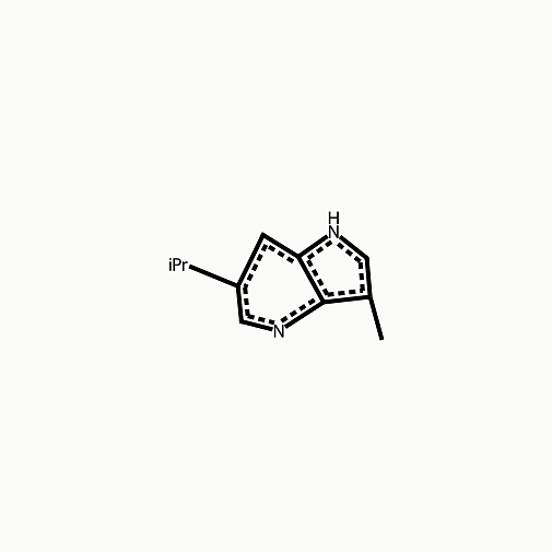 Cc1c[nH]c2cc(C(C)C)cnc12